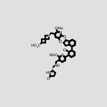 COc1nc(-c2cccc(-c3cccc4c3CC[C@@H]4Oc3nc(OC)c(CN4CC5(CC(C(=O)O)C5)C4)cc3Cl)c2Cl)ccc1CNC[C@@H]1CCC(=O)N1